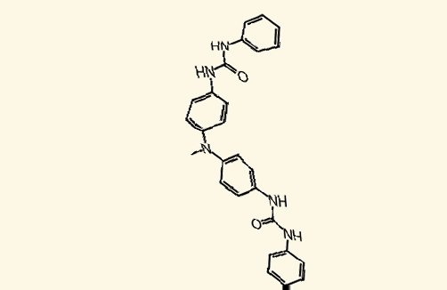 CN(c1ccc(NC(=O)Nc2ccccc2)cc1)c1ccc(NC(=O)Nc2ccccc2)cc1